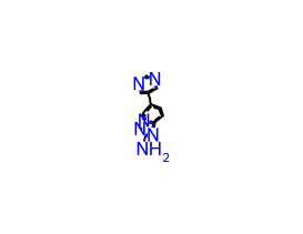 Nc1nc2ccc(-c3cncnc3)cn2n1